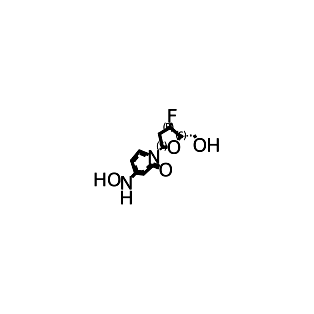 O=c1cc(NO)ccn1[C@@H]1C[C@@H](F)[C@H](CO)O1